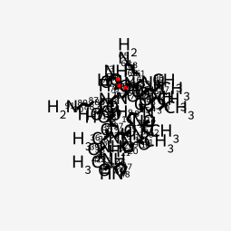 CC(C)C[C@H](NC(=O)[C@@H]1CCCN1C(=O)[C@@H](NC(=O)[C@@H]1CCCN1C(=O)[C@H](CCC(=O)O)NC(=O)[C@H](C)NC(=O)[C@H](C)NC(=O)[C@@H]1CCCN1)C(C)C)C(=O)N[C@H](C(=O)N[C@@H](CCCCN)C(=O)N[C@@H](CCC(N)=O)C(=O)N[C@@H](CC(=O)O)C(=O)N[C@@H](CCCCN)C(=O)O)C(C)C